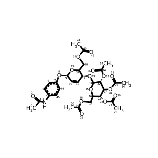 CC(=O)Nc1ccc(O[C@@H]2C=C[C@H](OC3OC(COC(C)=O)[C@@H](OC(C)=O)C(OC(C)=O)[C@H]3OC(C)=O)C(COC(C)=O)O2)cc1